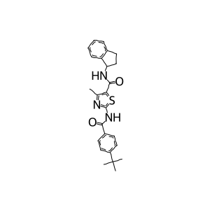 Cc1nc(NC(=O)c2ccc(C(C)(C)C)cc2)sc1C(=O)NC1CCc2ccccc21